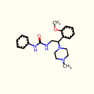 COc1ccccc1C(CNC(=O)Nc1ccccc1)N1CCN(C)CC1